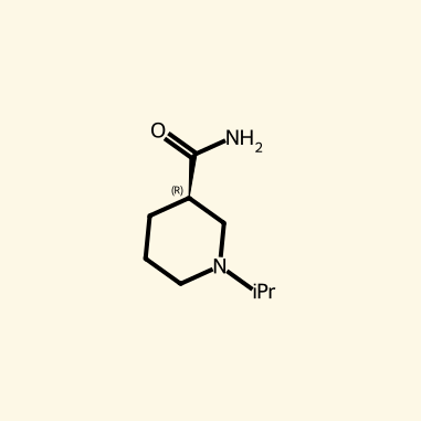 CC(C)N1CCC[C@@H](C(N)=O)C1